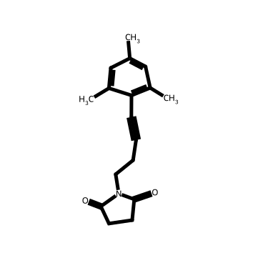 Cc1cc(C)c(C#CCCN2C(=O)CCC2=O)c(C)c1